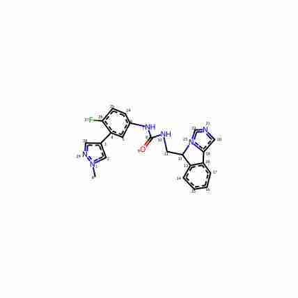 Cn1cc(-c2cc(NC(=O)NCC3c4ccccc4-c4cncn43)ccc2F)cn1